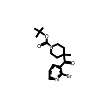 CC(C)(C)OC(=O)N1CCC(C)(C(=O)c2cccnc2Br)CC1